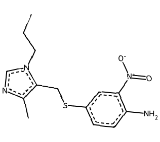 CCCn1cnc(C)c1CSc1ccc(N)c([N+](=O)[O-])c1